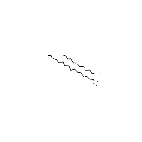 CCCCCCCCCCCC.CCCCCCCCCCCCCCCC[N+](C)(C)C